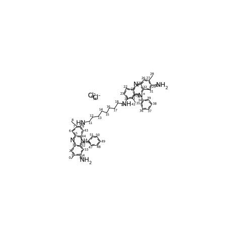 Cc1cc2nc3cc(C)c(NCCCCCCCCNc4ccc5nc6cc(C)c(N)cc6[n+](-c6ccccc6)c5c4C)cc3[n+](-c3ccccc3)c2cc1N.[Cl-].[Cl-]